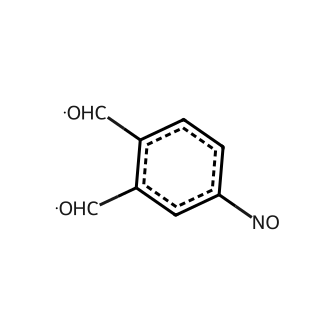 O=[C]c1ccc(N=O)cc1[C]=O